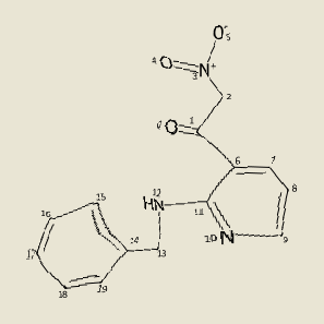 O=C(C[N+](=O)[O-])c1cccnc1NCc1ccccc1